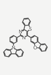 c1cc(-c2nc(-c3ccc4c(c3)oc3ccccc34)c3sc4ccccc4c3n2)cc(-n2c3ccccc3c3ccccc32)c1